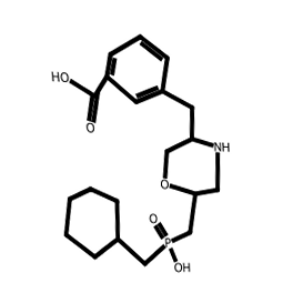 O=C(O)c1cccc(CC2COC(CP(=O)(O)CC3CCCCC3)CN2)c1